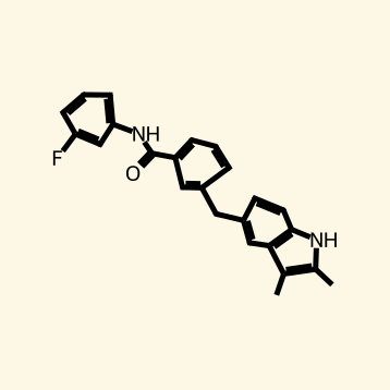 Cc1[nH]c2ccc(Cc3cccc(C(=O)Nc4cccc(F)c4)c3)cc2c1C